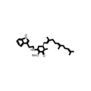 COC1=C(NCCc2c[nH]c3ccccc23)C[C@@H](C/C=C(\C)CC/C=C(\C)CCC=C(C)C)C(C)C1=O